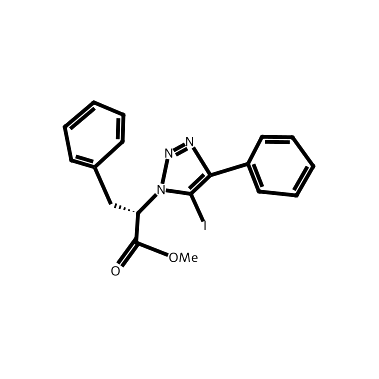 COC(=O)[C@H](Cc1ccccc1)n1nnc(-c2ccccc2)c1I